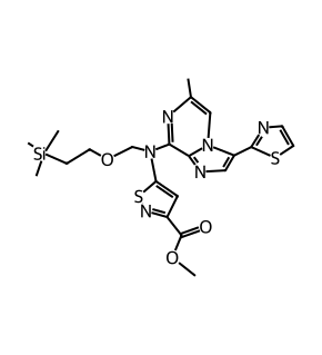 COC(=O)c1cc(N(COCC[Si](C)(C)C)c2nc(C)cn3c(-c4nccs4)cnc23)sn1